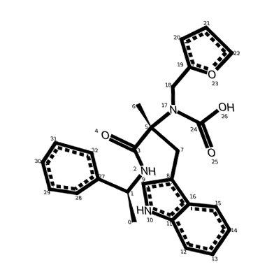 C[C@H](NC(=O)[C@@](C)(Cc1c[nH]c2ccccc12)N(Cc1ccco1)C(=O)O)c1ccccc1